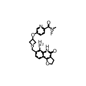 CN(F)C(=O)c1ccc(OC2CN(Cc3ccc4c5c(c(=O)[nH]c4c3P)CCO5)C2)cn1